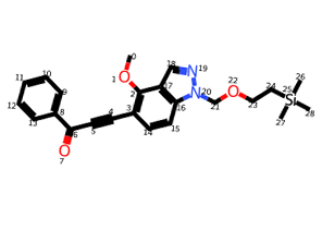 COc1c(C#CC(=O)c2ccccc2)ccc2c1cnn2COCC[Si](C)(C)C